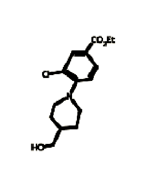 CCOC(=O)c1ccc(N2CCC(CO)CC2)c(Cl)c1